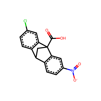 O=C(O)C12CC(c3ccc(Cl)cc31)c1ccc([N+](=O)[O-])cc12